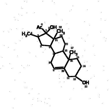 CC(=O)C1(O)C(C)CC2C3CC=C4CC(O)CCC4(C)C3CCC21C